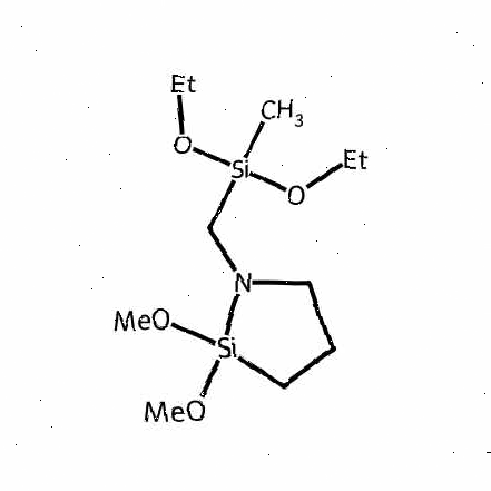 CCO[Si](C)(CN1CCC[Si]1(OC)OC)OCC